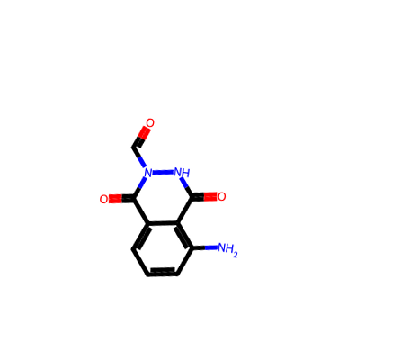 Nc1cccc2c(=O)n(C=O)[nH]c(=O)c12